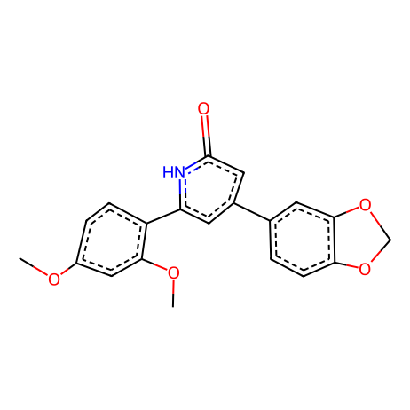 COc1ccc(-c2cc(-c3ccc4c(c3)OCO4)cc(=O)[nH]2)c(OC)c1